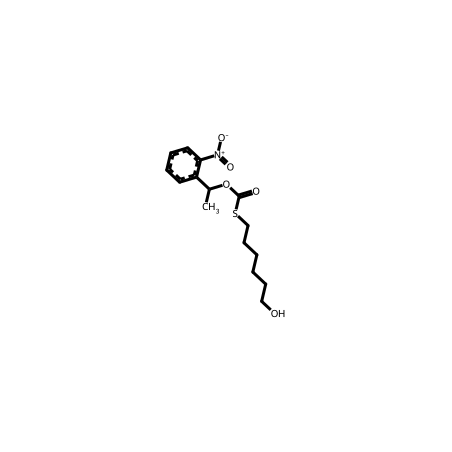 CC(OC(=O)SCCCCCCO)c1ccccc1[N+](=O)[O-]